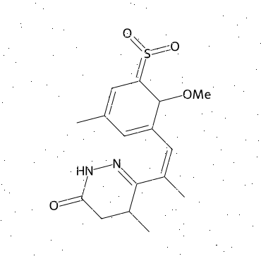 COC1C(C=C(C)C2=NNC(=O)CC2C)=CC(C)=CC1=S(=O)=O